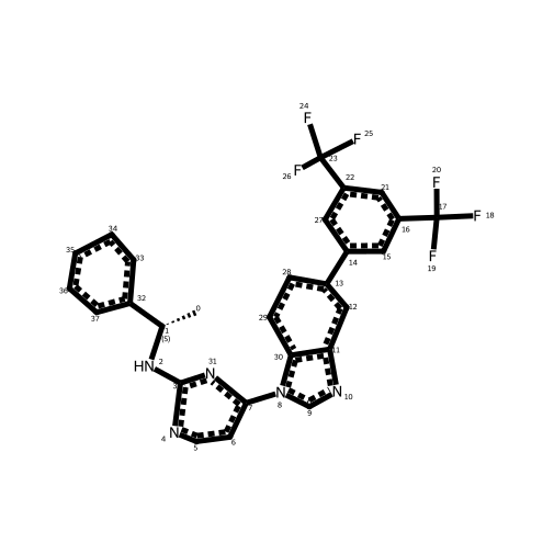 C[C@H](Nc1nccc(-n2cnc3cc(-c4cc(C(F)(F)F)cc(C(F)(F)F)c4)ccc32)n1)c1ccccc1